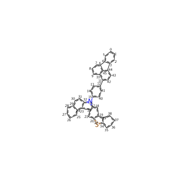 c1ccc2c(c1)-c1cccc3c(-c4ccc(-n5c6cc7c(cc6c6c8ccccc8ccc65)sc5ccccc57)cc4)ccc-2c13